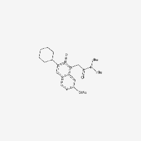 CCCCN(CCCC)C(=O)Cn1c(=O)c(C2CCCCC2)cc2ccc(OC)cc21